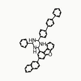 c1ccc(-c2ccc(-c3ccc(C4NC(c5ccccc5)NC(c5cc(-c6ccc7ccccc7c6)cc6oc7ccccc7c56)N4)cc3)cc2)cc1